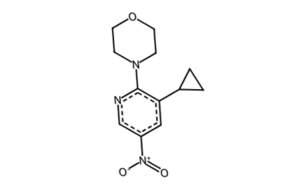 O=[N+]([O-])c1cnc(N2CCOCC2)c(C2CC2)c1